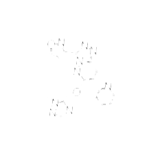 Cn1ncnc1COc1nn2c(-c3ccon3)nnc2cc1-c1ccccn1